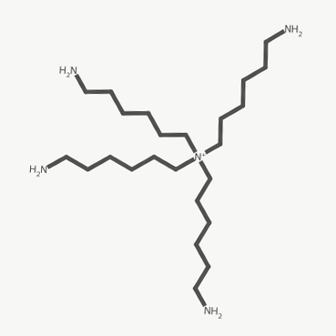 NCCCCCC[N+](CCCCCCN)(CCCCCCN)CCCCCCN